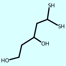 OCCC(O)CC(S)S